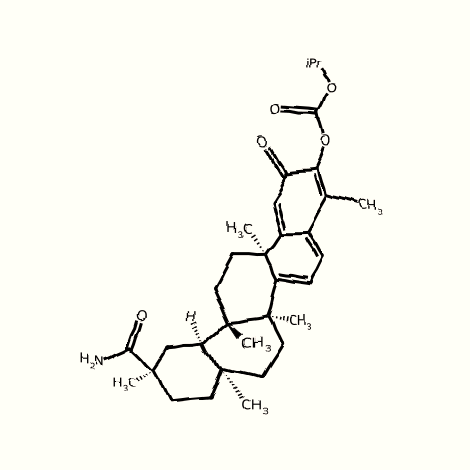 CC1=C(OC(=O)OC(C)C)C(=O)C=C2C1=CC=C1[C@@]2(C)CC[C@@]2(C)[C@@H]3C[C@](C)(C(N)=O)CC[C@]3(C)CC[C@]12C